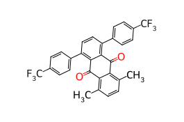 Cc1ccc(C)c2c1C(=O)c1c(-c3ccc(C(F)(F)F)cc3)ccc(-c3ccc(C(F)(F)F)cc3)c1C2=O